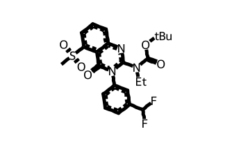 CCN(C(=O)OC(C)(C)C)c1nc2cccc(S(C)(=O)=O)c2c(=O)n1-c1cccc(C(F)F)c1